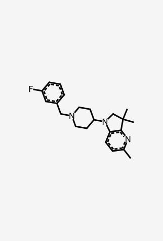 Cc1ccc2c(n1)C(C)(C)CN2C1CCN(Cc2cccc(F)c2)CC1